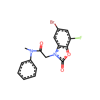 CN(C(=O)Cn1c(=O)oc2c(F)cc(Br)cc21)c1ccccc1